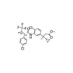 COC(=O)CC(C)(c1ccc(Cl)c(NC(=O)[C@H](c2ccc(Cl)cc2)[C@@H](C)C(F)(F)F)c1)C1CC1